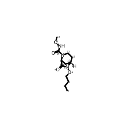 CCCCON1C(=O)C2C[C@@H]1CCN2C(=O)NOC